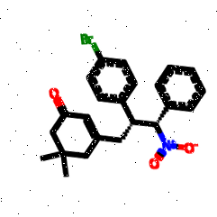 CC1(C)CC(=O)C=C(C[C@H](c2ccc(Br)cc2)[C@H](c2ccccc2)[N+](=O)[O-])C1